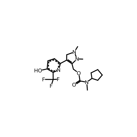 CN(C(=O)OCC1=C(c2ccc(O)c(C(F)(F)F)n2)CN(C)N1C)C1CCCC1